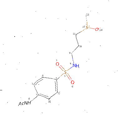 CC(=O)Nc1ccc(S(=O)(=O)NCCC[S+](C)[O-])cc1